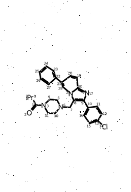 CC(C)C(=O)N1CCN(Cc2c(-c3ccc(Cl)cc3)nc3ccc(-c4ccccc4)cn23)CC1